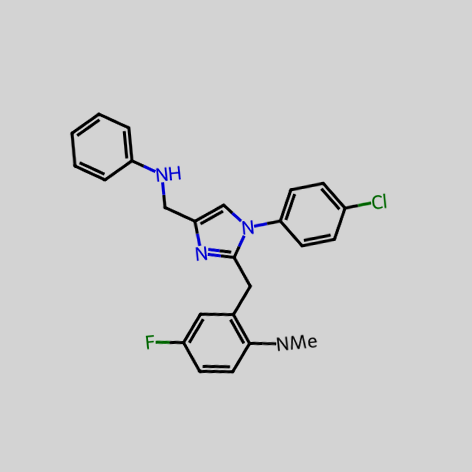 CNc1ccc(F)cc1Cc1nc(CNc2ccccc2)cn1-c1ccc(Cl)cc1